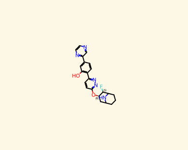 Oc1cc(-c2cnccn2)ccc1-c1ccc(O[C@@H]2CC3CCCC(N3)[C@@H]2F)nn1